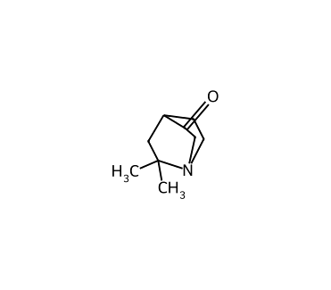 CC1(C)CC2CCN1CC2=O